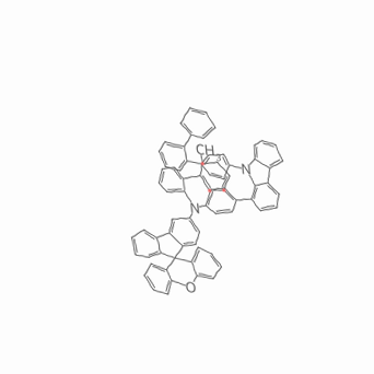 CC1(c2ccccc2-c2ccccc2)CC=CC=C1c1ccccc1N(c1ccc(-c2cccc3c4ccccc4n(-c4ccccc4)c23)cc1)c1ccc2c(c1)-c1ccccc1C21c2ccccc2Oc2ccccc21